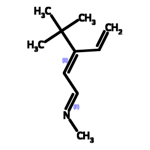 C=C/C(=C\C=N\C)C(C)(C)C